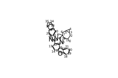 CC1CC2CC2CC(C)(c2nc3c(ccc4oc5ccccc5c43)c3nc4cc5c(cc4n23)C2CCC5C2)C1